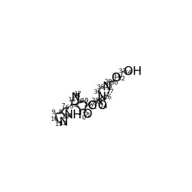 COc1cc2c(-c3cc4cccnc4[nH]3)cn(C)c2cc1OCC(=O)N1CCN(CCOCCO)CC1